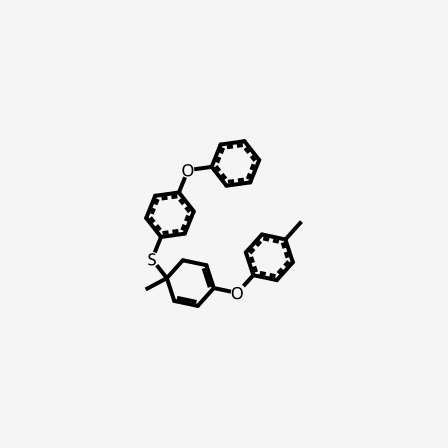 Cc1ccc(OC2=CCC(C)(Sc3ccc(Oc4ccccc4)cc3)C=C2)cc1